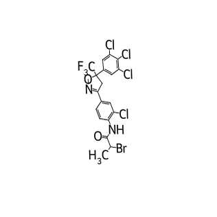 CC(Br)C(=O)Nc1ccc(C2=NOC(c3cc(Cl)c(Cl)c(Cl)c3)(C(F)(F)F)C2)cc1Cl